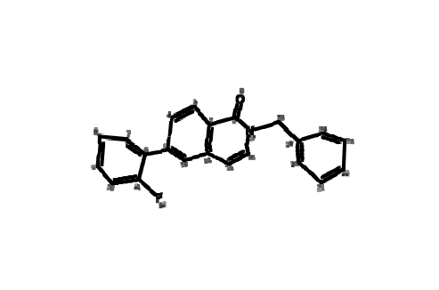 O=c1c2ccc(-c3ccccc3F)cc2ccn1Cc1ccccc1